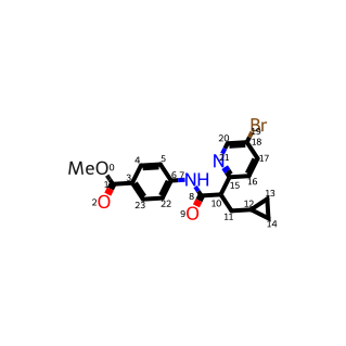 COC(=O)c1ccc(NC(=O)C(CC2CC2)c2ccc(Br)cn2)cc1